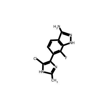 Cc1nc(-c2ccc3c(N)n[nH]c3c2F)c(Cl)[nH]1